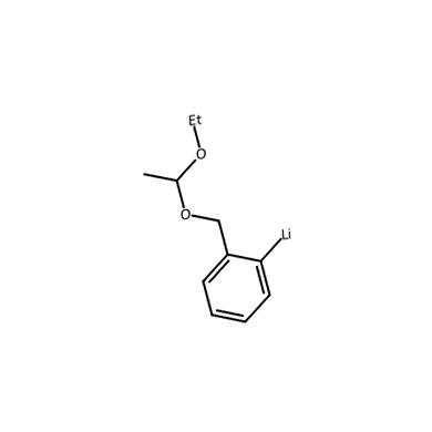 [Li][c]1ccccc1COC(C)OCC